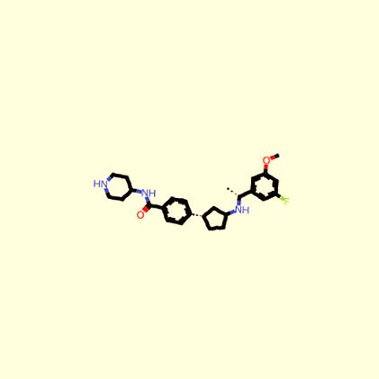 COc1cc(F)cc([C@@H](C)NC2CC[C@H](c3ccc(C(=O)NC4CCNCC4)cc3)C2)c1